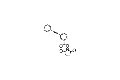 O=C(ON1C(=O)CCC1=O)c1cccc(C#Cc2ccccc2)c1